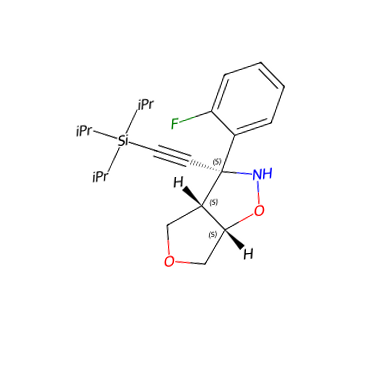 CC(C)[Si](C#C[C@]1(c2ccccc2F)NO[C@@H]2COC[C@@H]21)(C(C)C)C(C)C